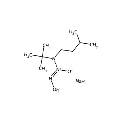 CC(C)CCN([N+]([O-])=NO)C(C)(C)C.[NaH]